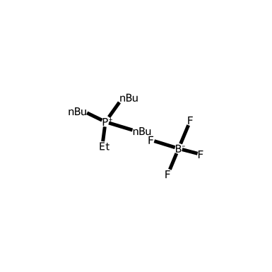 CCCC[P+](CC)(CCCC)CCCC.F[B-](F)(F)F